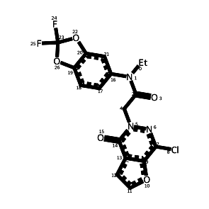 CCN(C(=O)Cn1nc(Cl)c2occc2c1=O)c1ccc2c(c1)OC(F)(F)O2